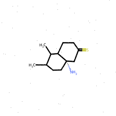 CC1CC[C@]2(N)CC(=S)CCC2C1C